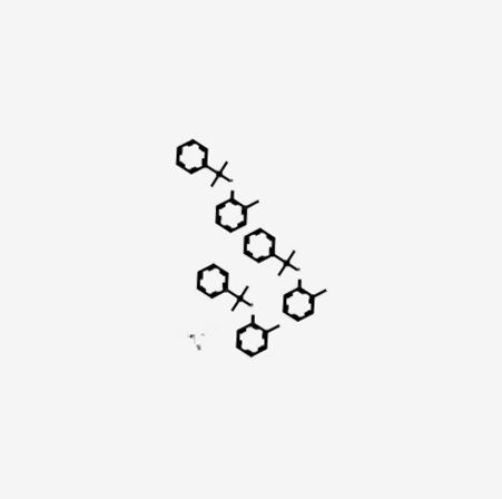 Cc1ccccc1[I+]C(C)(C)c1ccccc1.Cc1ccccc1[I+]C(C)(C)c1ccccc1.Cc1ccccc1[I+]C(C)(C)c1ccccc1.[O-]B([O-])[O-]